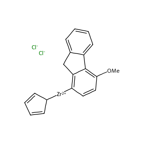 COc1cc[c]([Zr+2][CH]2C=CC=C2)c2c1-c1ccccc1C2.[Cl-].[Cl-]